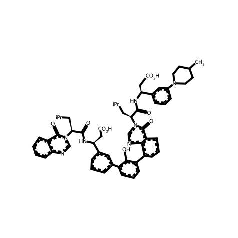 CC(C)C[C@@H](C(=O)N[C@@H](CC(=O)O)c1cccc(-c2cccc(-c3cccc4c(=O)n([C@@H](CC(C)C)C(=O)N[C@@H](CC(=O)O)c5cccc(N6CCC(C)CC6)c5)cnc34)c2O)c1)n1cnc2ccccc2c1=O